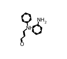 Nc1ccccc1.O=CC=CNc1ccccc1